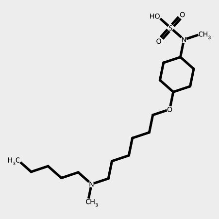 CCCCCN(C)CCCCCCOC1CCC(N(C)S(=O)(=O)O)CC1